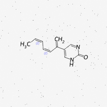 C=C(/C=C\C=C/C)c1cnc(=O)[nH]c1